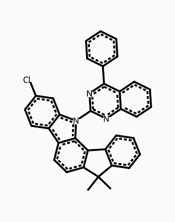 CC1(C)c2ccccc2-c2c1ccc1c3ccc(Cl)cc3n(-c3nc(-c4ccccc4)c4ccccc4n3)c21